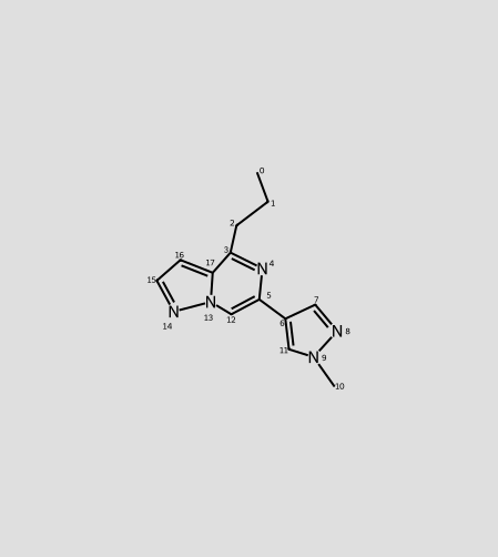 CCCc1nc(-c2cnn(C)c2)cn2nccc12